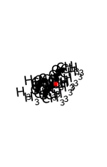 CC(C)(C)C(=O)CC(=O)C(C)(C)C.CC(C)(C)C(=O)CC(=O)C(C)(C)C.CC(C)(C)C(=O)CC(=O)C(C)(C)C.[Gd]